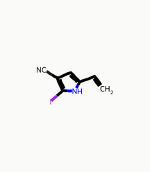 C=Cc1cc(C#N)c(I)[nH]1